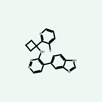 Fc1cccnc1C1(Nc2nnccc2-c2ccc3[nH]cnc3c2)CCC1